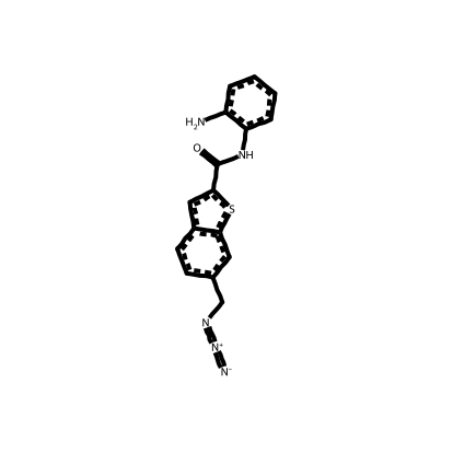 [N-]=[N+]=NCc1ccc2cc(C(=O)Nc3ccccc3N)sc2c1